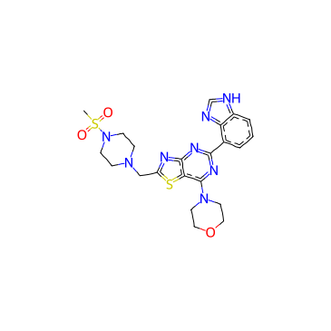 CS(=O)(=O)N1CCN(Cc2nc3nc(-c4cccc5[nH]cnc45)nc(N4CCOCC4)c3s2)CC1